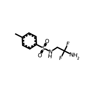 Cc1ccc(S(=O)(=O)NCC(N)(F)F)cc1